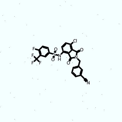 N#Cc1cccc(CN2C(=O)c3c(Cl)ccc(NS(=O)(=O)c4ccc(F)c(C(F)(F)F)c4)c3C2=O)c1